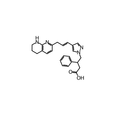 O=C(O)CC(Cn1cc(C=CCc2ccc3c(n2)NCCC3)cn1)c1ccccc1